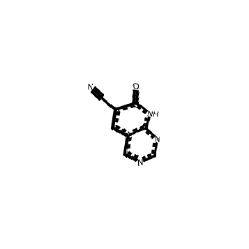 N#Cc1cc2cncnc2[nH]c1=O